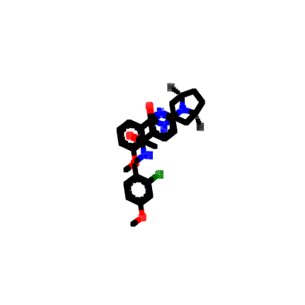 COc1ccc(CNC(=O)c2ccc(N3[C@@H]4CC[C@H]3C[C@@H](NC(=O)c3cccc(OC)c3C)C4)nc2)c(Cl)c1